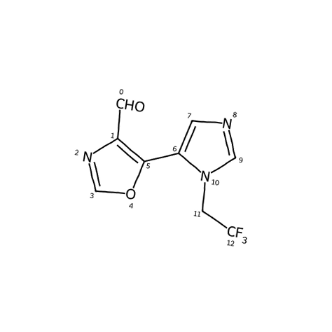 O=Cc1ncoc1-c1cncn1CC(F)(F)F